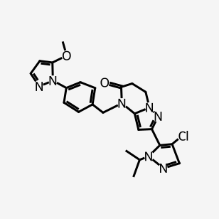 COc1ccnn1-c1ccc(CN2C(=O)CCn3nc(-c4c(Cl)cnn4C(C)C)cc32)cc1